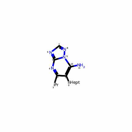 CCCCCCCc1c(C(C)C)nc2ncnn2c1N